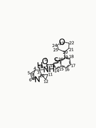 O=C(N[C@H]1C2CCN(CC2)C12CC2)c1cc2cccc(C3CCOCC3)c2s1